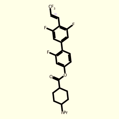 CCCC1CCC(C(=O)Oc2ccc(-c3cc(F)c(/C=C/C(F)(F)F)c(F)c3)c(F)c2)CC1